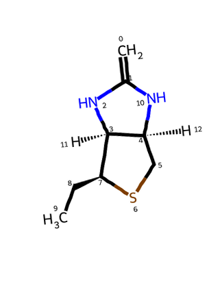 C=C1N[C@H]2[C@H](CS[C@H]2CC)N1